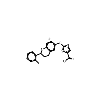 Cc1ccccc1C1CCc2cc(Oc3ncc(C(=O)[O-])s3)ccc2O1.[Li+]